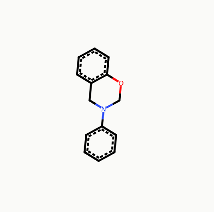 c1ccc(N2COc3ccccc3C2)cc1